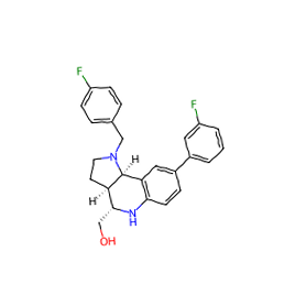 OC[C@H]1Nc2ccc(-c3cccc(F)c3)cc2[C@H]2[C@@H]1CCN2Cc1ccc(F)cc1